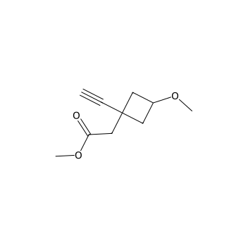 C#CC1(CC(=O)OC)CC(OC)C1